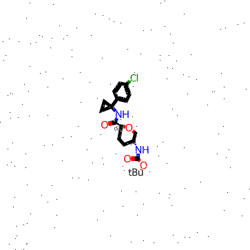 CC(C)(C)OC(=O)N[C@@H]1CC[C@@H](C(=O)NC2(c3ccc(Cl)cc3)CC2)OC1